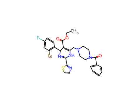 CCOC(=O)C1=C(CN2CCN(C(=O)c3ccccc3)CC2)NC(c2nccs2)=NC1c1ccc(F)cc1Br